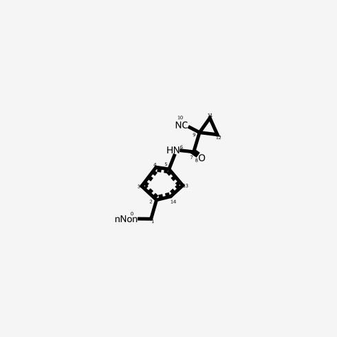 CCCCCCCCCCc1ccc(NC(=O)C2(C#N)CC2)cc1